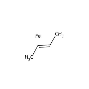 CC=CC.[Fe]